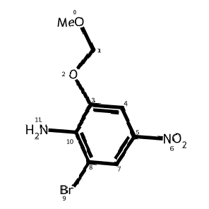 COCOc1cc([N+](=O)[O-])cc(Br)c1N